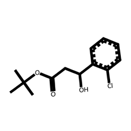 CC(C)(C)OC(=O)CC(O)c1ccccc1Cl